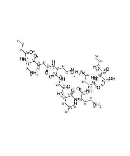 CCCC(=O)NC(CN)C(=O)NCC(=O)NC(CCN)C(=O)NCC(=O)NC(CC(C)C)C(=O)NC(CCN)C(=O)NC(CCN)C(=O)NC(C(=O)NCC)C(C)O